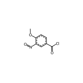 COc1ccc(C(=O)Cl)cc1N=O